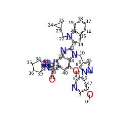 COc1cncc(-n2cc(Cn3c(-c4cc5ccccc5n4CC4CC4)nc4cc(C(=O)N5CC6CCC5[C@@H]6N)cc(OC)c43)cn2)c1